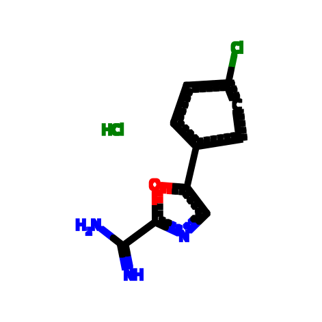 Cl.N=C(N)c1ncc(-c2ccc(Cl)cc2)o1